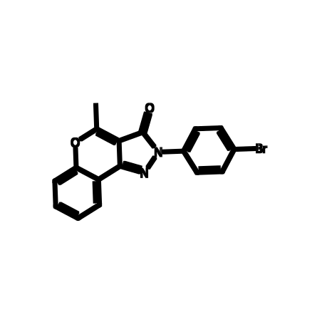 Cc1oc2ccccc2c2nn(-c3ccc(Br)cc3)c(=O)c1-2